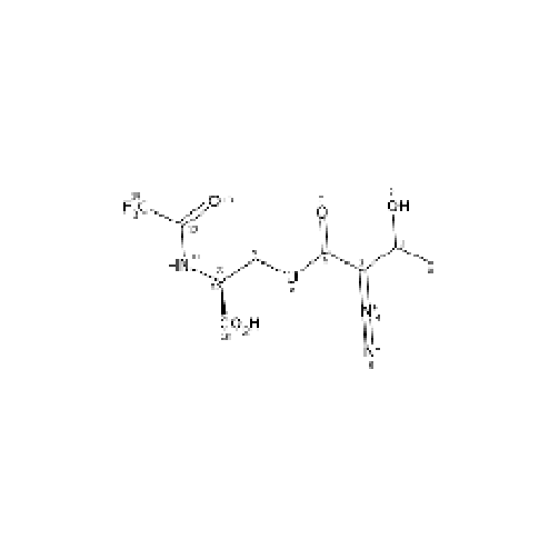 CC(O)C(=[N+]=[N-])C(=O)OC[C@H](NC(=O)C(F)(F)F)C(=O)O